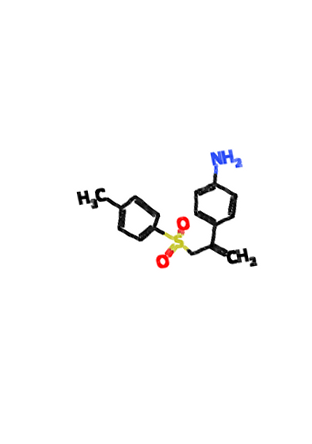 C=C(CS(=O)(=O)c1ccc(C)cc1)c1ccc(N)cc1